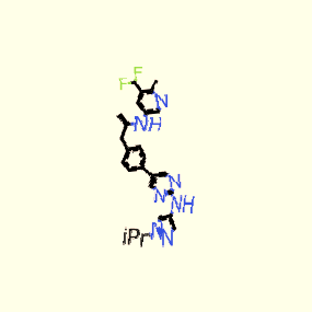 C=C(Cc1ccc(-c2cnc(Nc3cnn(C(C)C)c3)nc2)cc1)Nc1cnc(C)c(C(F)F)c1